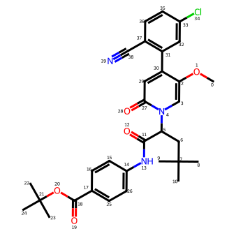 COc1cn(C(CC(C)(C)C)C(=O)Nc2ccc(C(=O)OC(C)(C)C)cc2)c(=O)cc1-c1cc(Cl)ccc1C#N